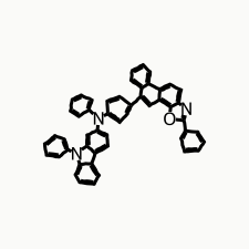 c1ccc(-c2nc3ccc4c5ccccc5c(-c5ccc(N(c6ccccc6)c6ccc7c8ccccc8n(-c8ccccc8)c7c6)cc5)cc4c3o2)cc1